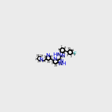 Fc1ccc(-c2cccc3[nH]c(-c4n[nH]c5ccc(-c6cncc(CN7CCCC7)c6)nc45)nc23)cc1